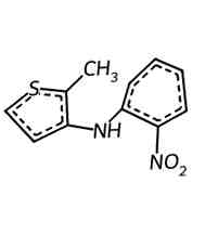 Cc1sccc1Nc1ccccc1[N+](=O)[O-]